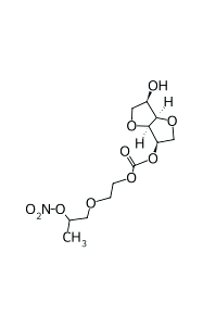 CC(COCCOC(=O)O[C@@H]1CO[C@H]2[C@@H]1OC[C@H]2O)O[N+](=O)[O-]